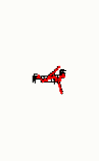 CCCCCCCCCCCCc1cc(-c2ccc(-c3ccc(C(C)(C)c4cccc(C(F)(F)F)c4)s3)s2)sc1-c1nc(C)c(-c2sc(-c3sc(C(C)(CC)c4cccc(C(F)(F)F)c4)cc3CCCCCCCCCCCC)nc2C)s1